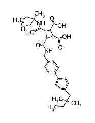 CCC(C)(C)Cc1ccc(-c2ccc(CNC(=O)C3C(C(=O)O)C(C(=O)O)C3C(=O)NC(C)(CC)CC)cc2)cc1